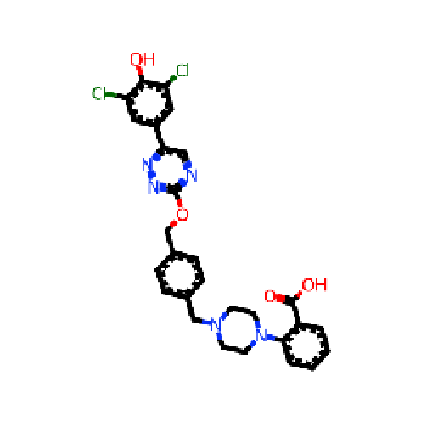 O=C(O)c1ccccc1N1CCN(Cc2ccc(COc3ncc(-c4cc(Cl)c(O)c(Cl)c4)nn3)cc2)CC1